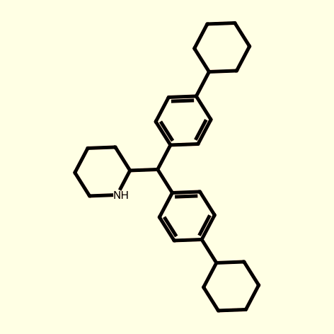 c1cc(C(c2ccc(C3CCCCC3)cc2)C2CCCCN2)ccc1C1CCCCC1